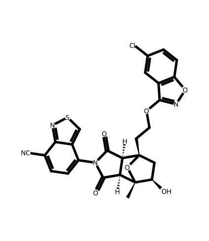 C[C@@]12O[C@@](CCOc3noc4ccc(Cl)cc34)(C[C@H]1O)[C@@H]1C(=O)N(c3ccc(C#N)c4nscc34)C(=O)[C@@H]12